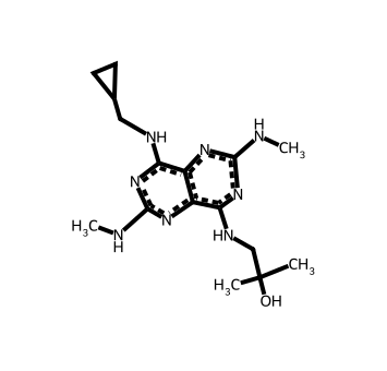 CNc1nc(NCC(C)(C)O)c2nc(NC)nc(NCC3CC3)c2n1